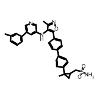 Cc1cccc(-c2cncc(Nc3c(C)noc3-c3ccc(-c4ccc(C5(C)CC5CS(N)(=O)=O)cc4)cc3)c2)c1